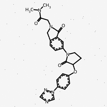 CN(C)C(=O)CN1Cc2ccc(N3CCC(Oc4ccc(-n5cncn5)cc4)C3=O)cc2C1=O